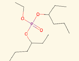 CCCC(CC)OP(=O)(OCC)OC(CC)CCC